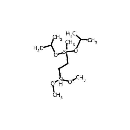 CO[SiH](CC[Si](C)(OC(C)C)OC(C)C)OC